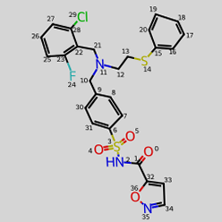 O=C(NS(=O)(=O)c1ccc(CN(CCSc2ccccc2)Cc2c(F)cccc2Cl)cc1)c1ccno1